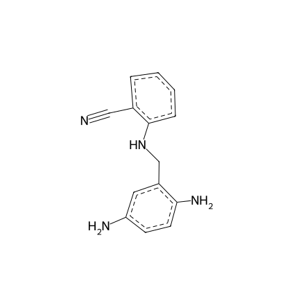 N#Cc1ccccc1NCc1cc(N)ccc1N